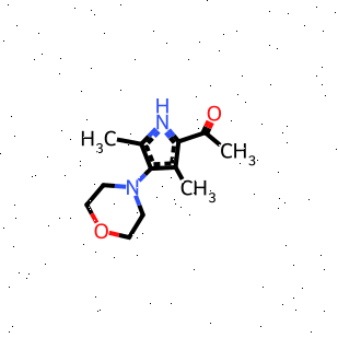 CC(=O)c1[nH]c(C)c(N2CCOCC2)c1C